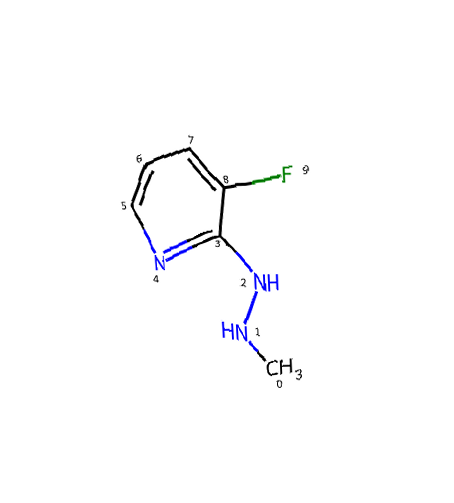 CNNc1ncccc1F